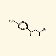 CC(CC(C)C(C)C)c1ccc(N)cc1